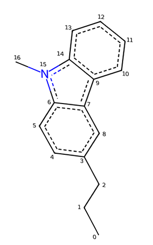 CCCc1ccc2c(c1)c1ccccc1n2C